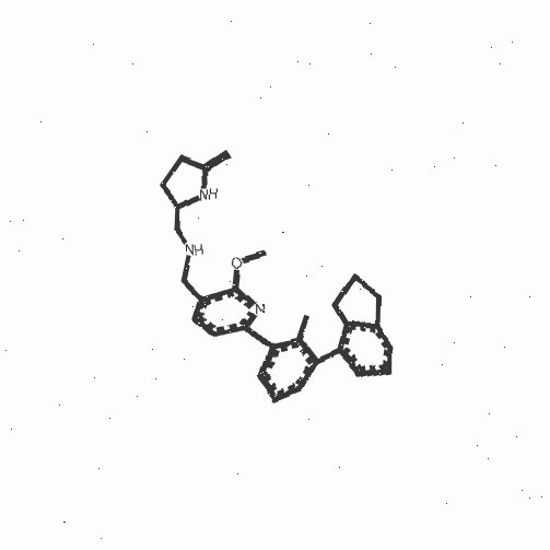 C=C1CCC(CNCc2ccc(-c3cccc(-c4cccc5c4CCC5)c3C)nc2OC)N1